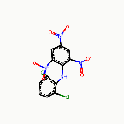 O=[N+]([O-])c1cc([N+](=O)[O-])c(Nc2c(Cl)cccc2Cl)c([N+](=O)[O-])c1